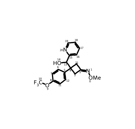 CON=C1CC(c2ccc(OC(F)(F)F)cc2)(C(O)c2ccccn2)C1